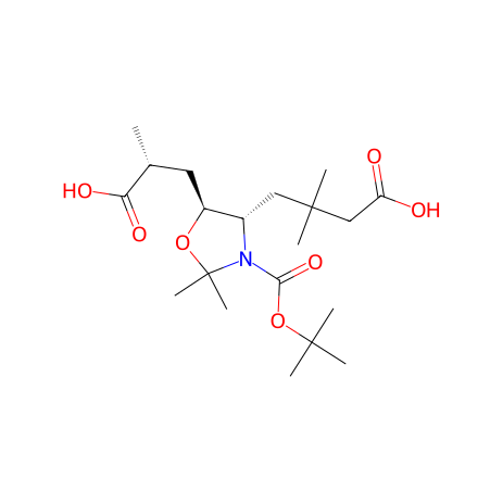 C[C@H](C[C@@H]1OC(C)(C)N(C(=O)OC(C)(C)C)[C@H]1CC(C)(C)CC(=O)O)C(=O)O